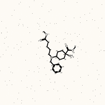 COC(=O)CCCCN(Cc1ccccc1)C1CCC(N)(C(=O)OC)CC1